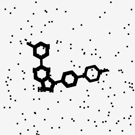 Cc1cncc(-c2ncc3[nH]nc(-c4ccc(N5CCN(C)CC5)cc4)c3n2)c1